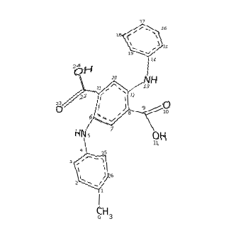 Cc1ccc(Nc2cc(C(=O)O)c(Nc3ccccc3)cc2C(=O)O)cc1